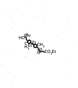 CCOC(=O)CCCS(=O)(=O)CCc1ccc(C(CC)(CC)c2ccc(CCC(O)C(C)(C)C)c(C)c2)cc1C